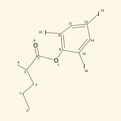 CCCC(C)C(=O)Oc1c(I)cc(I)cc1I